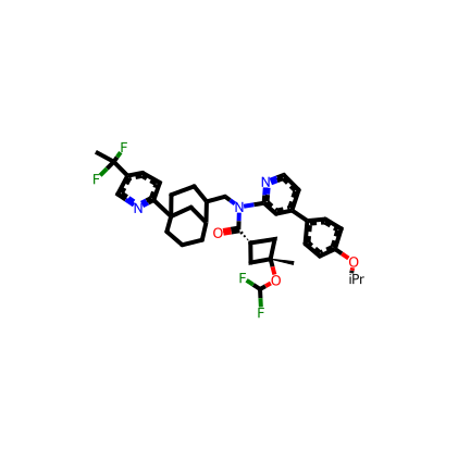 CC(C)Oc1ccc(-c2ccnc(N(CC3CCC4(c5ccc(C(C)(F)F)cn5)CCCC3C4)C(=O)[C@H]3C[C@@](C)(OC(F)F)C3)c2)cc1